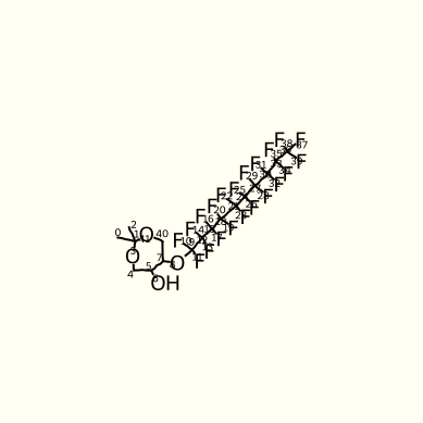 CC1(C)OCC(O)C(OC(F)(F)C(F)(F)C(F)(F)C(F)(F)C(F)(F)C(F)(F)C(F)(F)C(F)(F)C(F)(F)C(F)(F)F)CO1